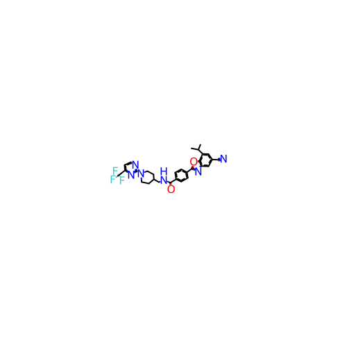 CC(C)c1cc(C#N)cc2nc(-c3ccc(C(=O)NCC4CCN(c5nccc(C(F)(F)F)n5)CC4)cc3)oc12